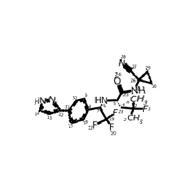 CC(C)(F)C[C@H](N[C@@H](c1ccc(-c2cc[nH]n2)cc1)C(F)(F)F)C(=O)NC1(C#N)CC1